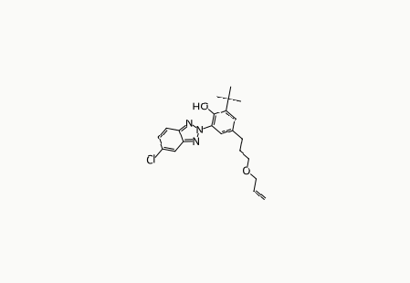 C=CCOCCCc1cc(-n2nc3ccc(Cl)cc3n2)c(O)c(C(C)(C)C)c1